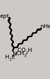 CCCCCCCC=CCCCCCCCCC(CN(C)C)C(CCCCCCCCC=CCCCCCCC)C(=O)O